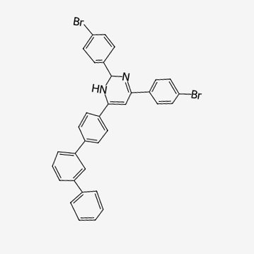 Brc1ccc(C2=NC(c3ccc(Br)cc3)NC(c3ccc(-c4cccc(-c5ccccc5)c4)cc3)=C2)cc1